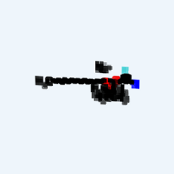 CCCCCCCCCCCCCCCCCCOC[C@H](CO[Si](C(C)C)(C(C)C)C(C)C)OCc1cc(F)cc(C#N)c1.[H-].[Na+]